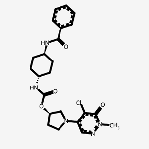 Cn1ncc(N2CC[C@@H](OC(=O)N[C@H]3CC[C@H](NC(=O)c4ccccc4)CC3)C2)c(Cl)c1=O